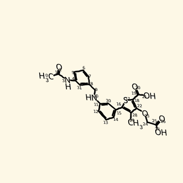 CC(=O)Nc1cccc(CNc2cccc(-c3sc(C(=O)O)c(OCC(=O)O)c3C)c2)c1